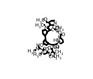 CCn1c(-c2cnccc2COC)c2c3cc(ccc31)-c1cc(O)cc(c1)C[C@H](NC(=O)C(C(C)C)N(C)C(=O)CN(C)C(=O)[C@@H]1CN1C)C(=O)N1CCC[C@H](N1)C(=O)OCC(C)(C)C2